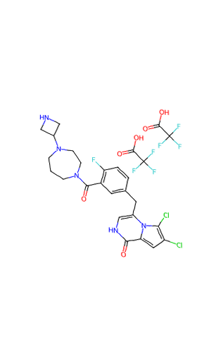 O=C(O)C(F)(F)F.O=C(O)C(F)(F)F.O=C(c1cc(Cc2c[nH]c(=O)c3cc(Cl)c(Cl)n23)ccc1F)N1CCCN(C2CNC2)CC1